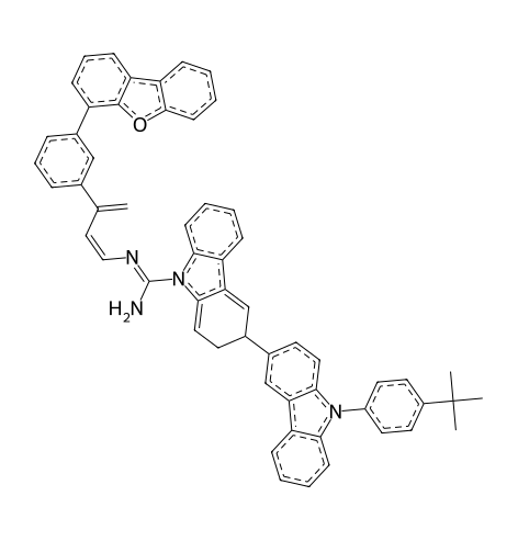 C=C(/C=C\N=C(/N)n1c2c(c3ccccc31)=CC(c1ccc3c(c1)c1ccccc1n3-c1ccc(C(C)(C)C)cc1)CC=2)c1cccc(-c2cccc3c2oc2ccccc23)c1